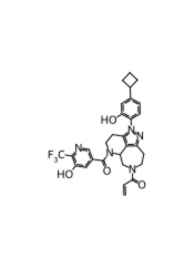 C=CC(=O)N1CCc2nn(-c3ccc(C4CCC4)cc3O)c3c2C(C1)N(C(=O)c1cnc(C(F)(F)F)c(O)c1)CC3